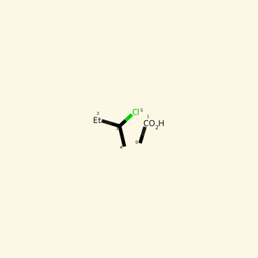 CC(=O)O.CCC(C)Cl